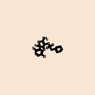 [2H]C1(c2cc(Cl)ccc2F)OC(N)=C(OS(=O)(=O)Cc2ccccc2)C1=O